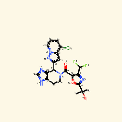 CC(C)(O)c1nc(C(F)F)c(C(=O)N2CCc3[nH]cnc3C2c2cc3c(Cl)cccn3n2)o1